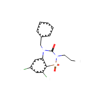 CCCN1C(=O)N(Cc2ccccc2)c2cc(Cl)cc(Cl)c2S1(=O)=O